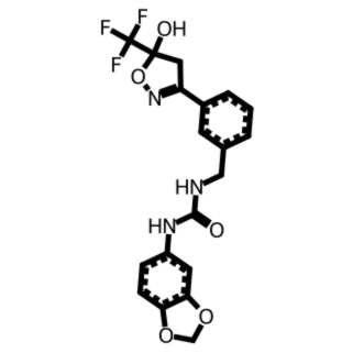 O=C(NCc1cccc(C2=NOC(O)(C(F)(F)F)C2)c1)Nc1ccc2c(c1)OCO2